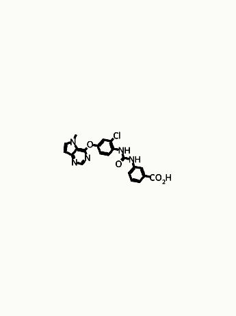 Cn1ccc2ncnc(Oc3ccc(NC(=O)Nc4cccc(C(=O)O)c4)c(Cl)c3)c21